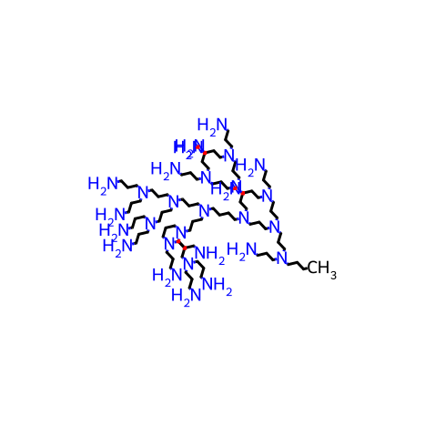 CCCCN(CCCN)CCCN(CCCN(CCCN)CCCN)CCCN(CCCCN(CCCN(CCCN(CCCN)CCCN)CCCN(CCCN)CCCN)CCCN(CCCN(CCCN)CCCN)CCCN(CCCN)CCCN)CCCN(CCCN(CCCN)CCCN)CCCN(CCCN)CCCN